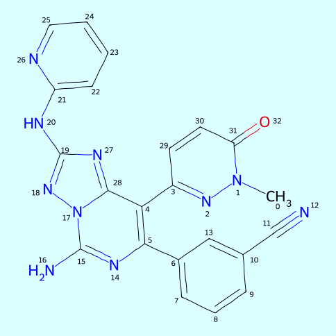 Cn1nc(-c2c(-c3cccc(C#N)c3)nc(N)n3nc(Nc4ccccn4)nc23)ccc1=O